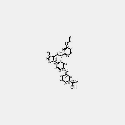 CCOc1ccnc(NCc2c(-c3ccc(O[C@H]4CCC[C@H](C(=O)O)C4)cn3)nnn2C)n1